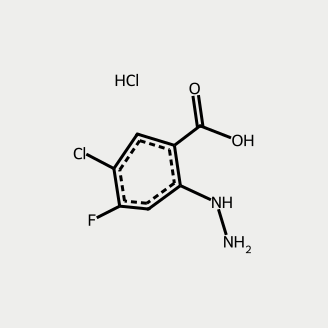 Cl.NNc1cc(F)c(Cl)cc1C(=O)O